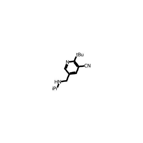 CC(C)NCc1cnc(C(C)(C)C)c(C#N)c1